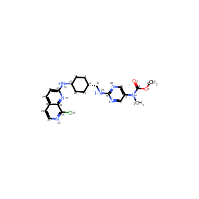 COC(=O)N(C)c1cnc(NC[C@H]2CC[C@H](Nc3ccc4ccnc(Cl)c4n3)CC2)nc1